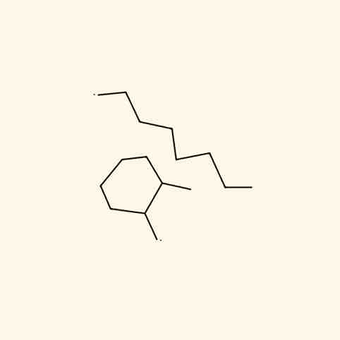 [CH2]C1CCCCC1C.[CH2]CCCCCCC